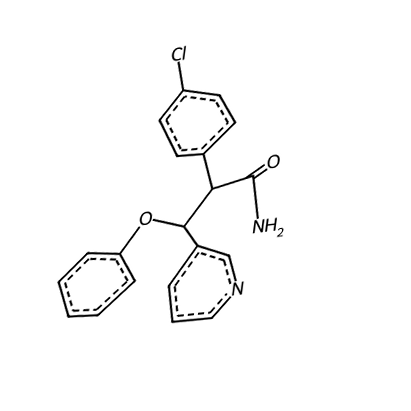 NC(=O)C(c1ccc(Cl)cc1)C(Oc1ccccc1)c1cccnc1